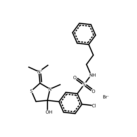 CN1C(=[N+](C)C)SCC1(O)c1ccc(Cl)c(S(=O)(=O)NCCc2ccccc2)c1.[Br-]